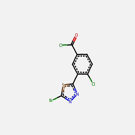 O=C(Cl)c1ccc(Cl)c(-c2nnc(Br)s2)c1